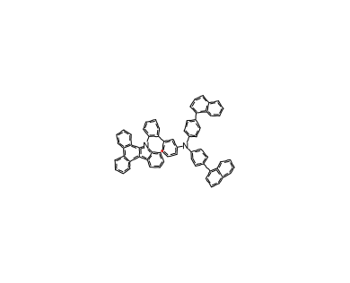 c1cc(-c2ccccc2-n2c3ccccc3c3c4ccccc4c4ccccc4c32)cc(N(c2ccc(-c3cccc4ccccc34)cc2)c2ccc(-c3cccc4ccccc34)cc2)c1